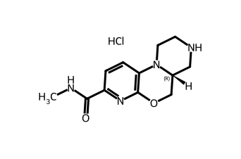 CNC(=O)c1ccc2c(n1)OC[C@H]1CNCCN21.Cl